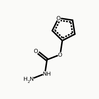 NNC(=O)Oc1ccoc1